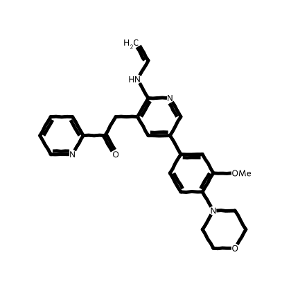 C=CNc1ncc(-c2ccc(N3CCOCC3)c(OC)c2)cc1CC(=O)c1ccccn1